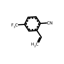 C=Cc1cc(C(F)(F)F)ccc1C#N